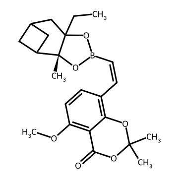 CCC12CC3CC(C3)[C@@]1(C)OB(/C=C\c1ccc(OC)c3c1OC(C)(C)OC3=O)O2